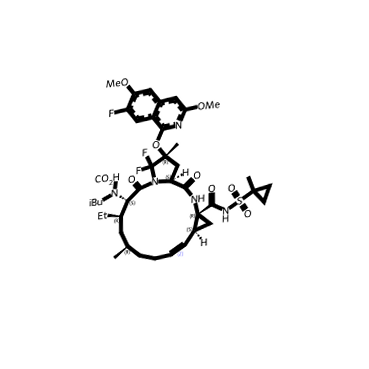 CCC(C)N(C(=O)O)[C@@H]1C(=O)N2[C@@H](C[C@@](C)(Oc3nc(OC)cc4cc(OC)c(F)cc34)C2(F)F)C(=O)N[C@]2(C(=O)NS(=O)(=O)C3(C)CC3)C[C@H]2/C=C\CC[C@@H](C)C[C@H]1CC